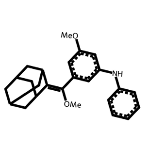 COC(=C1C2CC3CC(C2)CC1C3)c1cc(Nc2ccccc2)cc(OC)c1